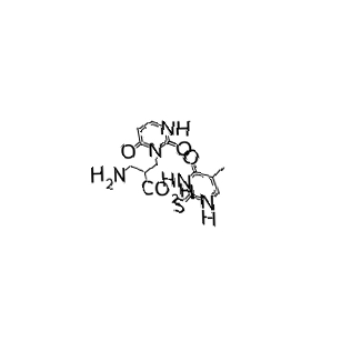 Cc1c[nH]c(=S)[nH]c1=O.NCC(Cn1c(=O)cc[nH]c1=O)C(=O)O